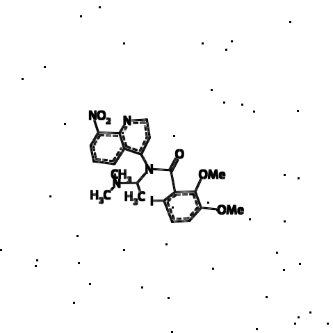 COc1ccc(I)c(C(=O)N(c2ccnc3c([N+](=O)[O-])cccc23)C(C)N(C)C)c1OC